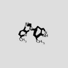 Cc1ccc2ncn(-c3cc(C)c4[nH]ncc4c3)c2n1